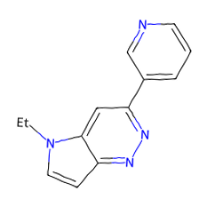 CCn1ccc2nnc(-c3cccnc3)cc21